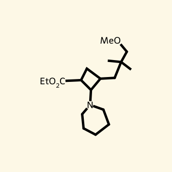 CCOC(=O)C1CC(CC(C)(C)COC)C1N1CCCCC1